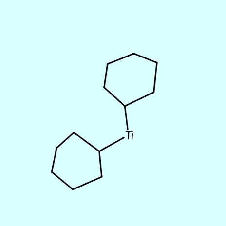 C1CC[CH]([Ti][CH]2CCCCC2)CC1